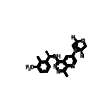 Cc1c([C@@H](C)Nc2nnc(C)c3ncc(N4C[C@H]5C[C@@H]4CO5)cc23)cccc1C(F)(F)F